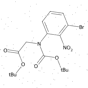 CC(C)(C)OC(=O)CN(C(=O)OC(C)(C)C)c1cccc(Br)c1[N+](=O)[O-]